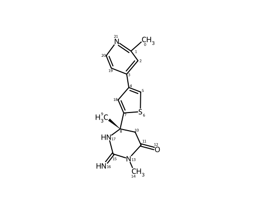 Cc1cc(-c2csc([C@]3(C)CC(=O)N(C)C(=N)N3)c2)ccn1